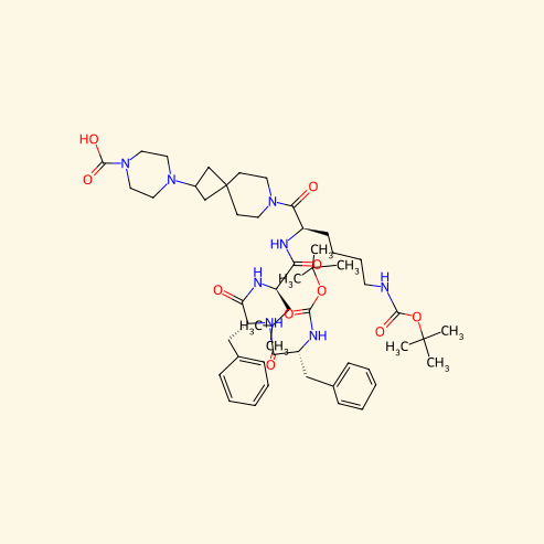 CC(C)C[C@@H](NC(=O)[C@@H](Cc1ccccc1)NC(=O)[C@@H](Cc1ccccc1)NC(=O)OC(C)(C)C)C(=O)N[C@H](CCCCNC(=O)OC(C)(C)C)C(=O)N1CCC2(CC1)CC(N1CCN(C(=O)O)CC1)C2